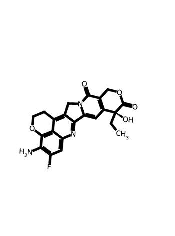 CC[C@@]1(O)C(=O)OCc2c1cc1n(c2=O)Cc2c-1nc1cc(F)c(N)c3c1c2CCO3